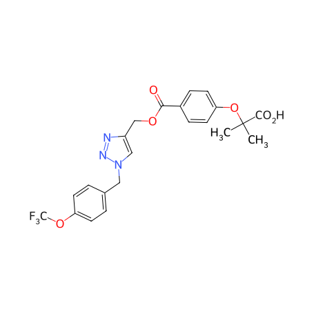 CC(C)(Oc1ccc(C(=O)OCc2cn(Cc3ccc(OC(F)(F)F)cc3)nn2)cc1)C(=O)O